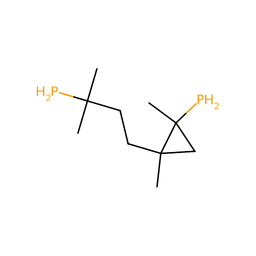 CC(C)(P)CCC1(C)CC1(C)P